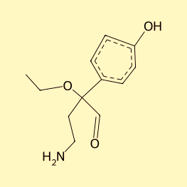 CCOC(C=O)(CCN)c1ccc(O)cc1